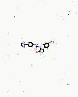 COc1cc(F)c([C@@H]2CNC(=O)C2NC(=O)Nc2ccc(-c3ncco3)cc2)c(F)c1